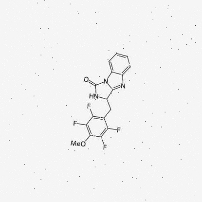 COc1c(F)c(F)c(CC2NC(=O)n3c2nc2ccccc23)c(F)c1F